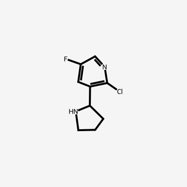 Fc1cnc(Cl)c(C2CCCN2)c1